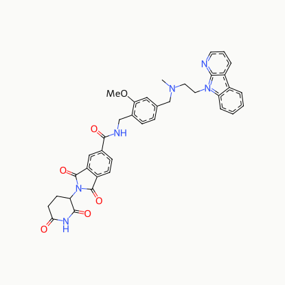 COc1cc(CN(C)CCn2c3ccccc3c3cccnc32)ccc1CNC(=O)c1ccc2c(c1)C(=O)N(C1CCC(=O)NC1=O)C2=O